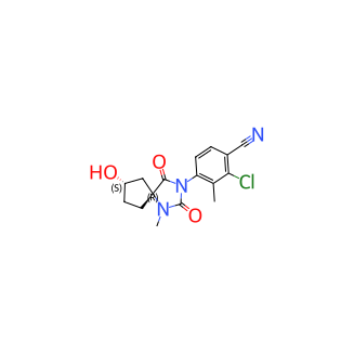 Cc1c(N2C(=O)N(C)[C@@]3(CC[C@H](O)C3)C2=O)ccc(C#N)c1Cl